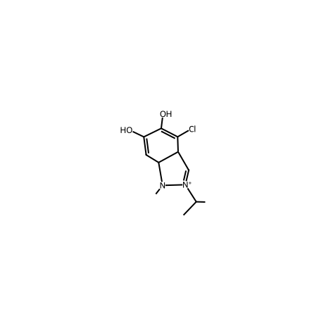 CC(C)[N+]1=CC2C(Cl)=C(O)C(O)=CC2N1C